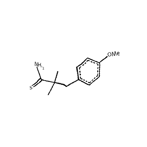 COc1ccc(CC(C)(C)C(N)=S)cc1